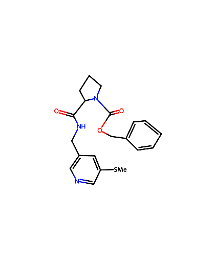 CSc1cncc(CNC(=O)C2CCCN2C(=O)OCc2ccccc2)c1